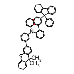 CC1(C)C2=CCCC=C2Sc2cc(-c3cccc(N(c4ccccc4)c4ccccc4-c4cccc(C5(c6ccccc6)C6=C(CCC=C6)c6ccccc65)c4)c3)ccc21